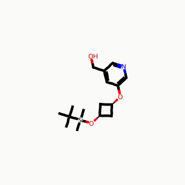 CC(C)(C)[Si](C)(C)O[C@H]1C[C@@H](Oc2cncc(CO)c2)C1